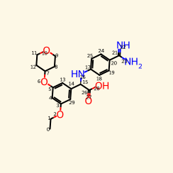 CCOc1cc(OC2CCOCC2)cc([C@@H](Nc2ccc(C(=N)N)cc2)C(=O)O)c1